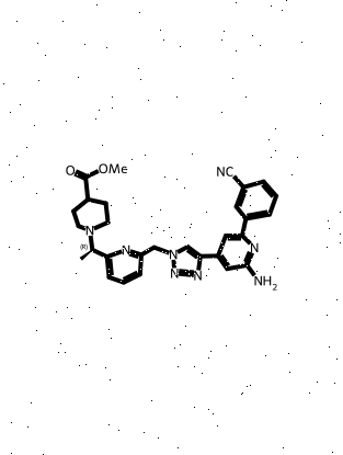 COC(=O)C1CCN([C@H](C)c2cccc(Cn3cc(-c4cc(N)nc(-c5cccc(C#N)c5)c4)nn3)n2)CC1